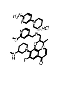 CNC1CCCN(c2c(F)cc3c(=O)ccn4c3c2OC(CN(Cc2ccnc(OC)c2)[C@H]2CCCN(c3ccc(N)nc3)C2)C4C)C1.Cl